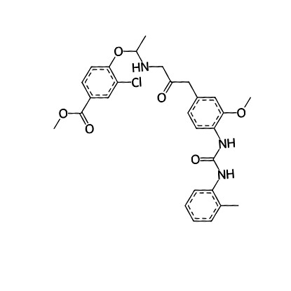 COC(=O)c1ccc(OC(C)NCC(=O)Cc2ccc(NC(=O)Nc3ccccc3C)c(OC)c2)c(Cl)c1